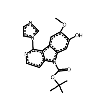 COc1cc2c3c(-n4ccnc4)nccc3n(C(=O)OC(C)(C)C)c2cc1O